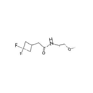 COC[CH]NC(=O)CC1CC(F)(F)C1